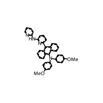 COc1ccc(N(c2ccc(OC)cc2)c2c3ccccc3c(-c3cccc(Nc4ccccn4)n3)c3ccccc23)cc1